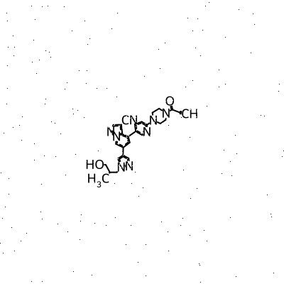 C#CC(=O)N1CCN(c2ccc(-c3cc(-c4cnn(CC(C)CO)c4)cn4ncc(C#N)c34)cn2)CC1